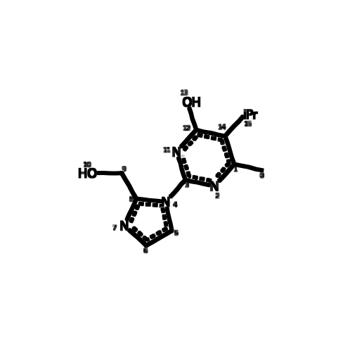 Cc1nc(-n2ccnc2CO)nc(O)c1C(C)C